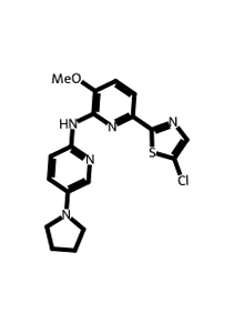 COc1ccc(-c2ncc(Cl)s2)nc1Nc1ccc(N2CCCC2)cn1